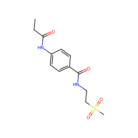 CCC(=O)Nc1ccc(C(=O)NCCS(C)(=O)=O)cc1